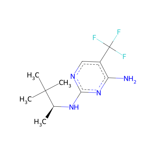 C[C@H](Nc1ncc(C(F)(F)F)c(N)n1)C(C)(C)C